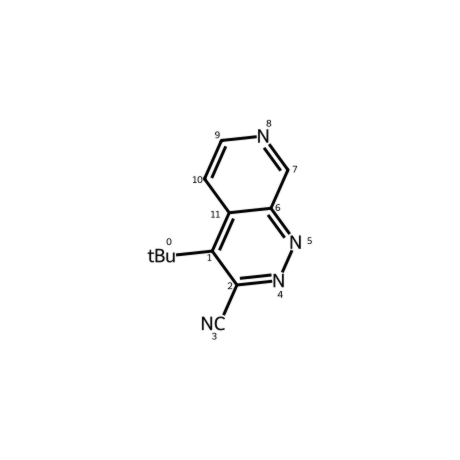 CC(C)(C)c1c(C#N)nnc2cnccc12